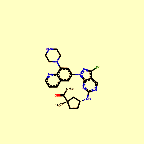 CNC(=O)[C@@]1(C)CC[C@@H](Nc2ncc3c(Br)nn(-c4cc(N5CCNCC5)c5ncccc5c4)c3n2)C1